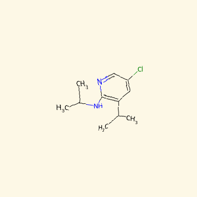 CC(C)Nc1ncc(Cl)cc1C(C)C